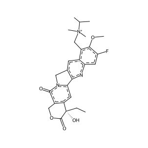 CC[C@@]1(O)C(=O)OCc2c1cc1n(c2=O)Cc2cc3c(C[N+](C)(C)C(C)C)c(OC)c(F)cc3nc2-1